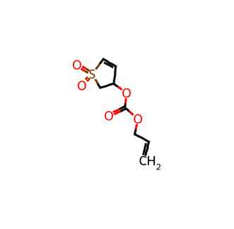 C=CCOC(=O)OC1C=CS(=O)(=O)C1